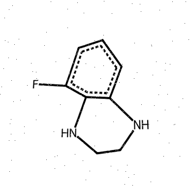 Fc1cccc2c1NCCN2